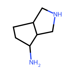 NC1CCC2CNCC12